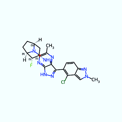 Cc1nc2c(-c3ccc4nn(C)cc4c3Cl)n[nH]c2nc1N1[C@H]2CC[C@@H]1[C@@H](F)[C@@H](N)C2